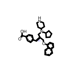 O=C(O)c1ccc(/C=C(/COc2cccc3ccccc23)CN(C2CCCC2)C2CCNCC2)cc1